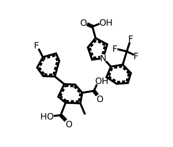 Cc1c(C(=O)O)cc(-c2ccc(F)cc2)cc1C(=O)O.O=C(O)c1ccn(-c2ccccc2C(F)(F)F)c1